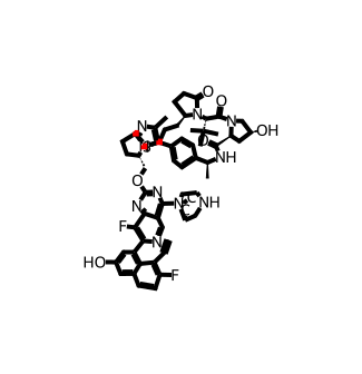 C#Cc1c(F)ccc2cc(O)cc(-c3ncc4c(N5CC6CCCC5CN6)nc(OC[C@@H]5CCCN5CCC[C@H]5CCC(=O)N5[C@H](C(=O)N5C[C@H](O)C[C@H]5C(=O)N[C@@H](C)c5ccc(-c6scnc6C)cc5)C(C)(C)C)nc4c3F)c12